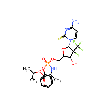 CC(C)OC(=O)[C@H](C)NP(=O)(OCC1O[C@H](n2ccc(N)nc2=S)C(F)(C(F)(F)F)[C@@H]1O)Oc1ccccc1